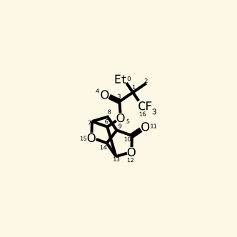 CCC(C)(C(=O)OC1C2CC3C(=O)OC1C3O2)C(F)(F)F